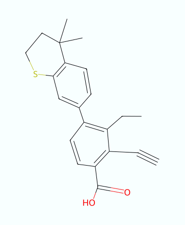 C#Cc1c(C(=O)O)ccc(-c2ccc3c(c2)SCCC3(C)C)c1CC